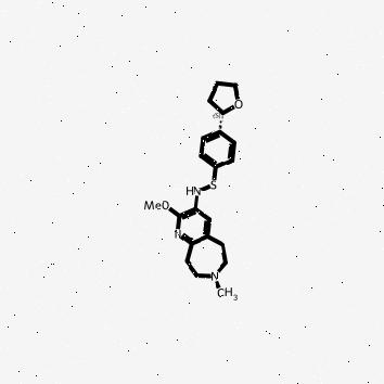 COc1nc2c(cc1NSc1ccc([C@@H]3CCCO3)cc1)CCN(C)CC2